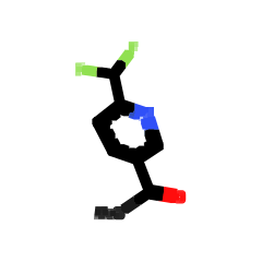 COC(=O)c1ccc(C(F)F)nc1